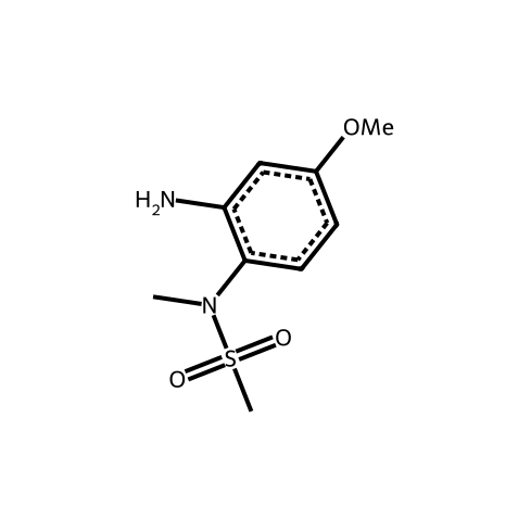 COc1ccc(N(C)S(C)(=O)=O)c(N)c1